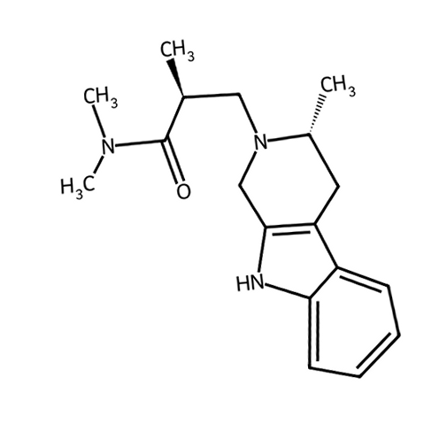 C[C@@H]1Cc2c([nH]c3ccccc23)CN1C[C@H](C)C(=O)N(C)C